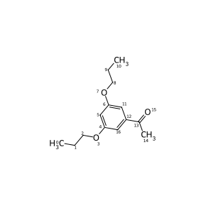 CCCOc1cc(OCCC)cc(C(C)=O)c1